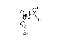 COCCN1CC(NC(=O)Nc2c(C)c(-c3cnc4c(c3)CN(CCO)C4)nn2-c2ccccc2)C(c2cccc(F)c2)C1